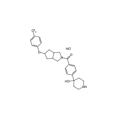 Cl.O=C(c1ccc(C2(O)CCNCC2)cc1)N1CC2CC(Oc3ccc(C(F)(F)F)cc3)CC2C1